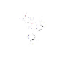 O=C1NC[C@@H](C(=O)NC(c2cnc(C(F)(F)F)c(Cl)c2)c2ccc(F)c(C(F)(F)F)n2)N1